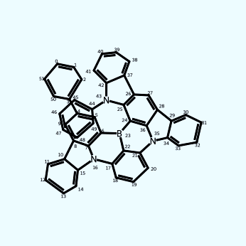 c1ccc(-c2cc3c4c(c2)c2ccccc2n4-c2cccc4c2B3c2c3c(cc5c6ccccc6n-4c25)c2ccccc2n3-c2ccccc2)cc1